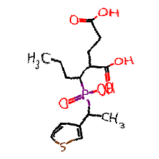 CCCC(C(CCC(=O)O)C(=O)O)P(=O)(O)C(C)c1ccsc1